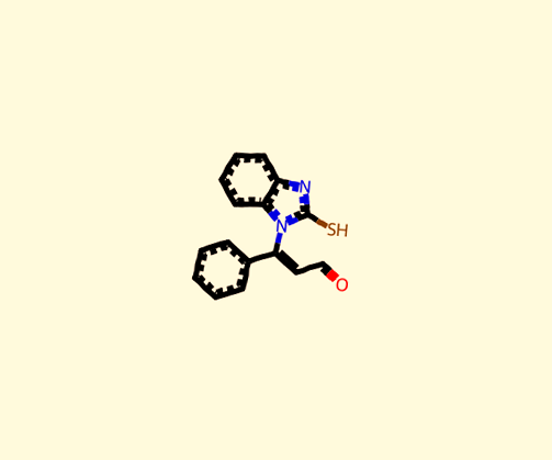 O=C/C=C(/c1ccccc1)n1c(S)nc2ccccc21